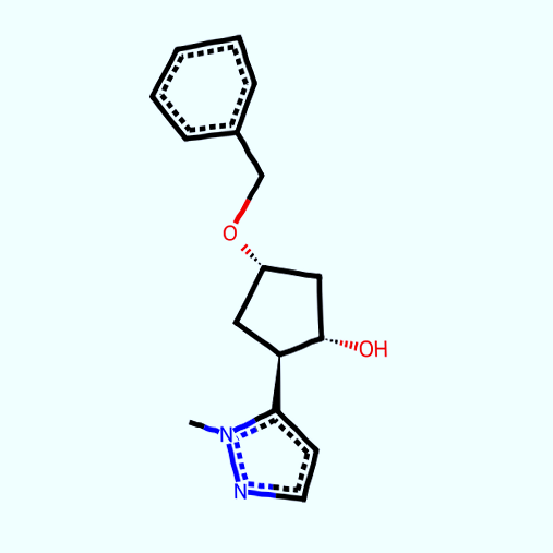 Cn1nccc1[C@H]1C[C@H](OCc2ccccc2)C[C@@H]1O